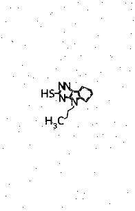 CCCCn1c2ccccc2c2nnc(S)nc21